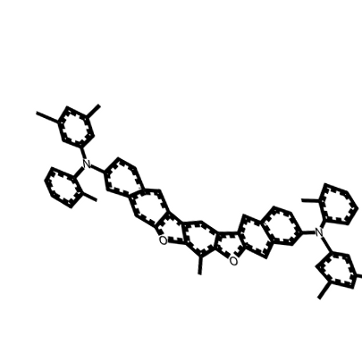 Cc1cc(C)cc(N(c2ccc3cc4c(cc3c2)oc2c(C)c3oc5cc6cc(N(c7cc(C)cc(C)c7)c7ccccc7C)ccc6cc5c3cc24)c2ccccc2C)c1